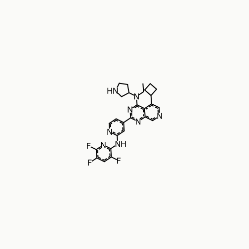 CCN(c1nc(-c2ccnc(Nc3nc(F)c(F)cc3F)c2)nc2cncc(C3CCC3)c12)C1CCNC1